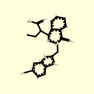 CCC(C(=O)O)c1nn(Cc2nc3cc(F)ccc3s2)c(=O)c2ccccc12